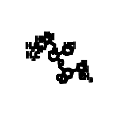 CN(C)Cc1[nH]nnc1CN1CCC[C@H](OCc2cc(-c3cnnn3C)cc3ccoc23)[C@@H]1c1ccccc1.Cl